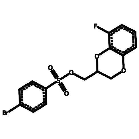 O=S(=O)(OCC1COc2cccc(F)c2O1)c1ccc(Br)cc1